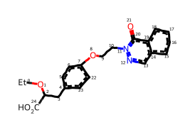 CCOC(Cc1ccc(OCCn2ncc3ccccc3c2=O)cc1)C(=O)O